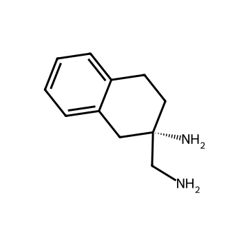 NC[C@]1(N)CCc2ccccc2C1